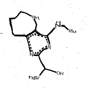 CCCCC(O)c1nc2c(c(NC(C)(C)C)n1)NCCC2